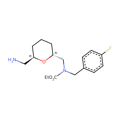 CCOC(=O)N(Cc1ccc(F)cc1)C[C@H]1CCC[C@H](CN)O1